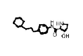 O=C(Nc1ccc(CCCC2CCCCC2)cc1)[C@H]1NCC[C@@H]1O